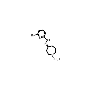 O=C(O)N1CCCC(=NNc2cccc(Br)n2)CC1